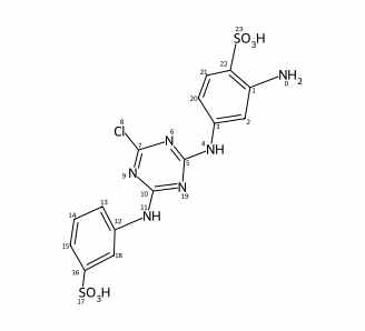 Nc1cc(Nc2nc(Cl)nc(Nc3cccc(S(=O)(=O)O)c3)n2)ccc1S(=O)(=O)O